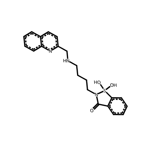 O=C1c2ccccc2S(O)(O)N1CCCCNCc1ccc2ccccc2n1